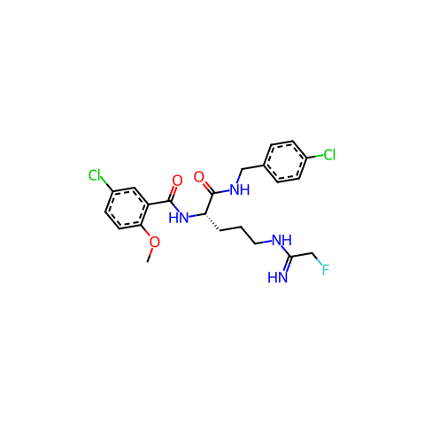 COc1ccc(Cl)cc1C(=O)N[C@@H](CCCNC(=N)CF)C(=O)NCc1ccc(Cl)cc1